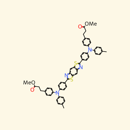 COC(=O)CCc1ccc(N(c2ccc(C)cc2)c2ccc(-c3nc4cc5sc(-c6ccc(N(c7ccc(C)cc7)c7ccc(CCC(=O)OC)cc7)cc6)nc5cc4s3)cc2)cc1